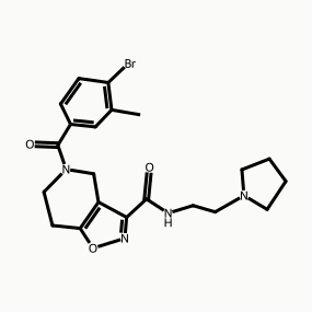 Cc1cc(C(=O)N2CCc3onc(C(=O)NCCN4CCCC4)c3C2)ccc1Br